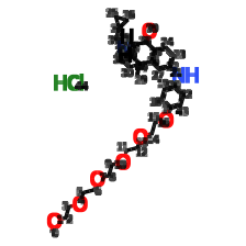 COCCOCCOCCOCCOCCOc1ccc(Nc2ccc3c(c2)[C@]2(C)CCN(CC4CC4)[C@H](C3=O)[C@@H]2C)cc1.Cl